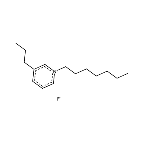 CCCCCCC[n+]1cccc(CCC)c1.[F-]